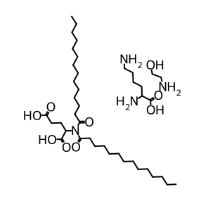 CCCCCCCCCCCCCC(=O)N(C(=O)CCCCCCCCCCCCC)C(CCC(=O)O)C(=O)O.NCCCCC(N)C(=O)O.NCCO